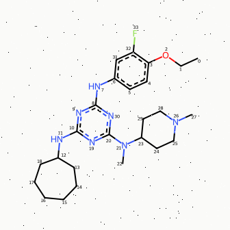 CCOc1ccc(Nc2nc(NC3CCCCCC3)nc(N(C)C3CCN(C)CC3)n2)cc1F